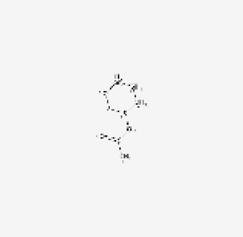 CC(=O)O[SiH]1CO[SiH2][SiH2][SiH2]1